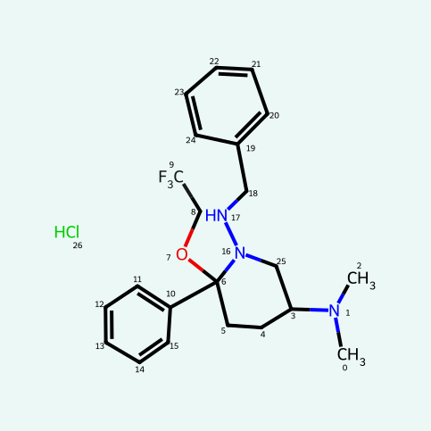 CN(C)C1CCC(OCC(F)(F)F)(c2ccccc2)N(NCc2ccccc2)C1.Cl